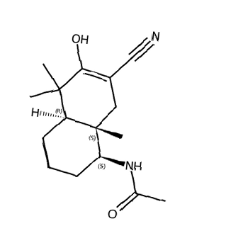 CC(=O)N[C@H]1CCC[C@H]2C(C)(C)C(O)=C(C#N)C[C@]12C